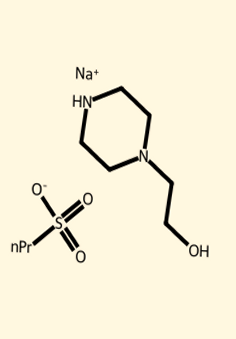 CCCS(=O)(=O)[O-].OCCN1CCNCC1.[Na+]